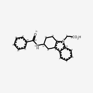 O=C(O)Cn1c2c(c3ccccc31)CC(NC(=O)c1ccccc1)CC2